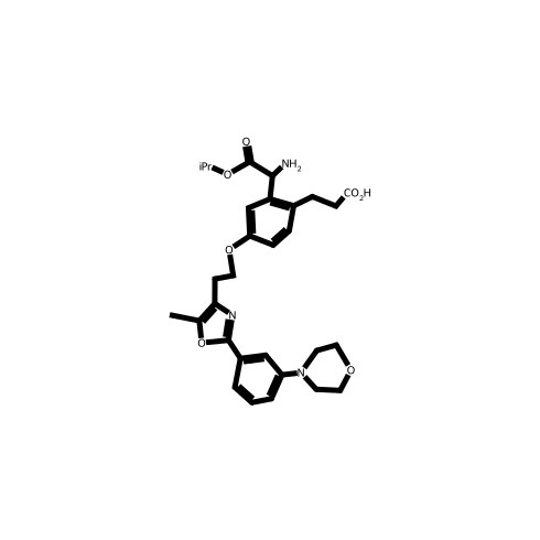 Cc1oc(-c2cccc(N3CCOCC3)c2)nc1CCOc1ccc(CCC(=O)O)c(C(N)C(=O)OC(C)C)c1